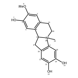 COc1cc2c(cc1O)C1Cc3cc(O)c(O)cc3[N+]1(C)CC2